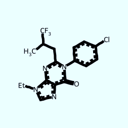 CCn1cnc2c(=O)n(-c3ccc(Cl)cc3)c(CC(C)C(F)(F)F)nc21